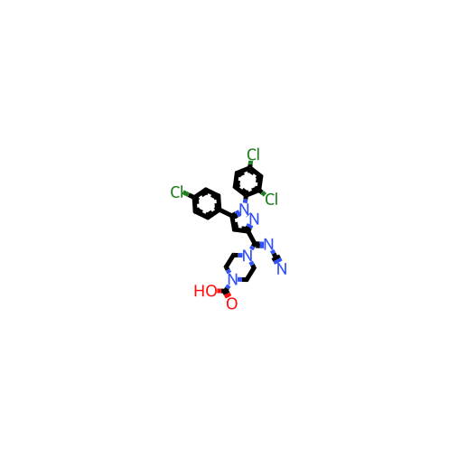 N#CN=C(c1cc(-c2ccc(Cl)cc2)n(-c2ccc(Cl)cc2Cl)n1)N1CCN(C(=O)O)CC1